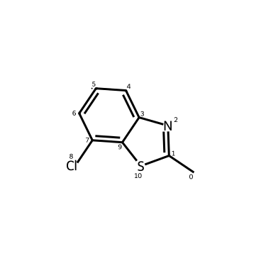 Cc1nc2c[c]cc(Cl)c2s1